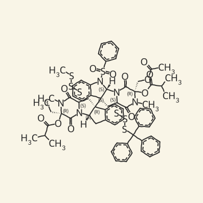 CC[C@@]1(OC(=O)C(C)C)C(=O)N2[C@H]3Cc4ccccc4[C@@]3([C@]34C[C@]5(SSSC(c6ccccc6)(c6ccccc6)c6ccccc6)C(=O)N(C)[C@](COC(C)=O)(OC(=O)C(C)C)C(=O)N5[C@H]3N(S(=O)(=O)c3ccccc3)c3ccccc34)C[C@]2(SSSC)C(=O)N1C